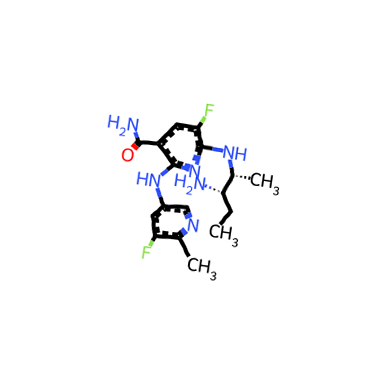 CC[C@H](N)[C@@H](C)Nc1nc(Nc2cnc(C)c(F)c2)c(C(N)=O)cc1F